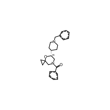 O=C(c1ccccc1)N1C[C@@H](C2CCN(Cc3ccccc3)CC2)OC2(CC2)C1